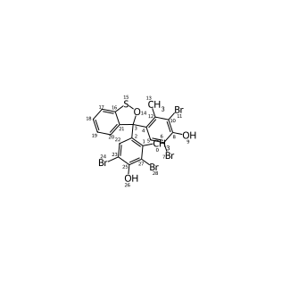 Cc1c(C2(c3cc(Br)c(O)c(Br)c3C)OSc3ccccc32)cc(Br)c(O)c1Br